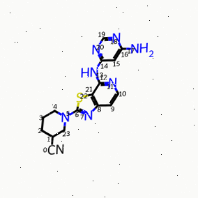 N#CC1CCCN(c2nc3ccnc(Nc4cc(N)ncn4)c3s2)C1